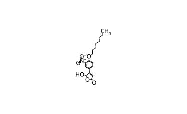 CCCCCCCCOc1ccc(C2=CC(=O)OC2O)cc1[N+](=O)[O-]